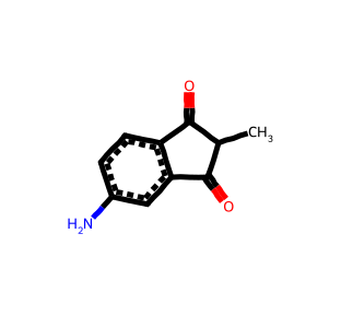 CC1C(=O)c2ccc(N)cc2C1=O